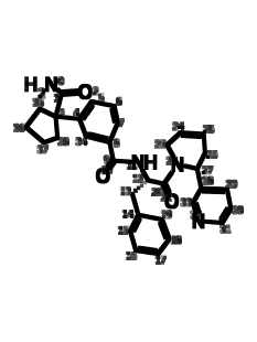 NC(=O)C1(c2cccc(C(=O)N[C@@H](Cc3ccccc3)C(=O)N3CC=CCC3c3cccnc3)c2)CCCC1